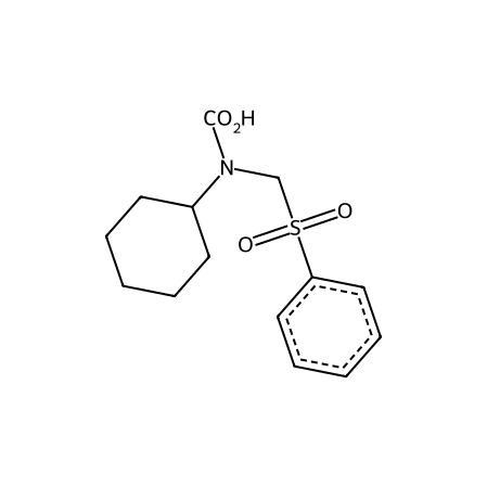 O=C(O)N(CS(=O)(=O)c1ccccc1)C1CCCCC1